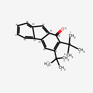 CC(C)(C)C1=C(C(C)(C)C)C(=O)C2=Cc3ccccc3C2=C1